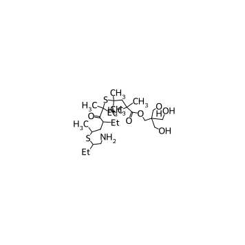 CCC(CN)SC(C)CC(CC)C(=O)C(C)(CC)SC(C)(C)CC(C)(C)C(=O)OCC(CO)(CO)CO